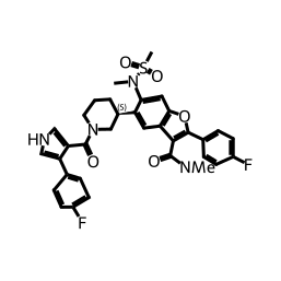 CNC(=O)c1c(-c2ccc(F)cc2)oc2cc(N(C)S(C)(=O)=O)c([C@@H]3CCCN(C(=O)c4c[nH]cc4-c4ccc(F)cc4)C3)cc12